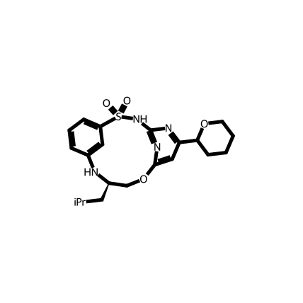 CC(C)C[C@@H]1COc2cc(C3CCCCO3)nc(n2)NS(=O)(=O)c2cccc(c2)N1